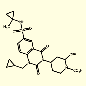 CC1(NS(=O)(=O)c2ccc3c(c2)c(=O)n(C2CCN(C(=O)O)C(C(C)(C)C)C2)c(=O)n3CC2CC2)CC1